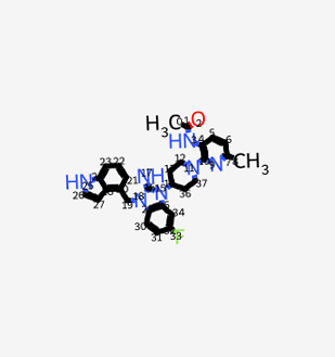 CC(=O)Nc1ccc(C)nc1N1CCC(n2c(=N)n(Cc3cccc4[nH]ccc34)c3ccc(F)cc32)CC1